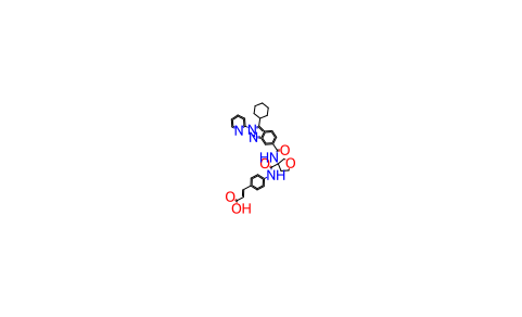 O=C(O)/C=C/c1ccc(NC(=O)[C@]2(NC(=O)c3ccc4c(C5CCCCC5)n(-c5ccccn5)nc4c3)CCOC2)cc1